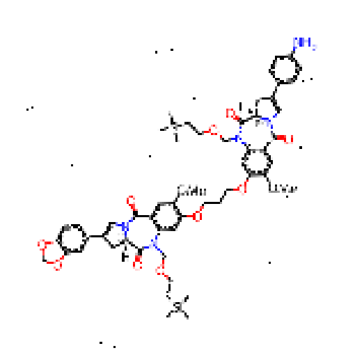 COc1cc2c(cc1OCCCOc1cc3c(cc1OC)C(=O)N1C=C(c4ccc5c(c4)OCO5)C[C@H]1C(=O)N3COCC[Si](C)(C)C)N(COCC[Si](C)(C)C)C(=O)[C@@H]1CC(c3ccc(N)cc3)=CN1C2=O